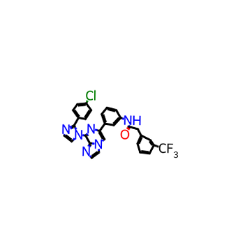 O=C(Cc1cccc(C(F)(F)F)c1)Nc1cccc(-c2cn3ccnc3c(-n3ccnc3-c3ccc(Cl)cc3)n2)c1